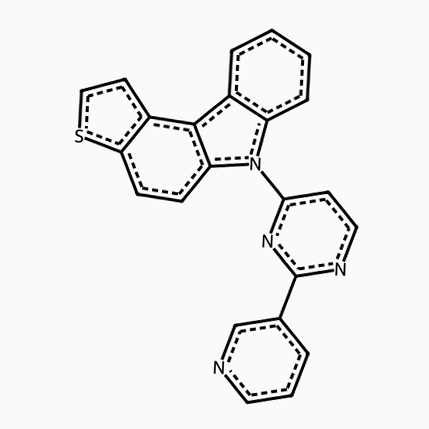 c1cncc(-c2nccc(-n3c4ccccc4c4c5ccsc5ccc43)n2)c1